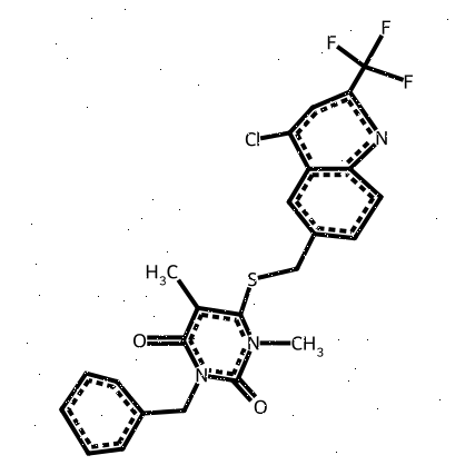 Cc1c(SCc2ccc3nc(C(F)(F)F)cc(Cl)c3c2)n(C)c(=O)n(Cc2ccccc2)c1=O